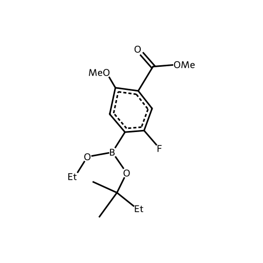 CCOB(OC(C)(C)CC)c1cc(OC)c(C(=O)OC)cc1F